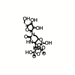 O=C1NC(=O)N([C@@H]2O[C@H](CO)[C@@H](O)[C@H]2O)CC1OP(=O)(O)OP(=O)(O)OP(=O)(O)O